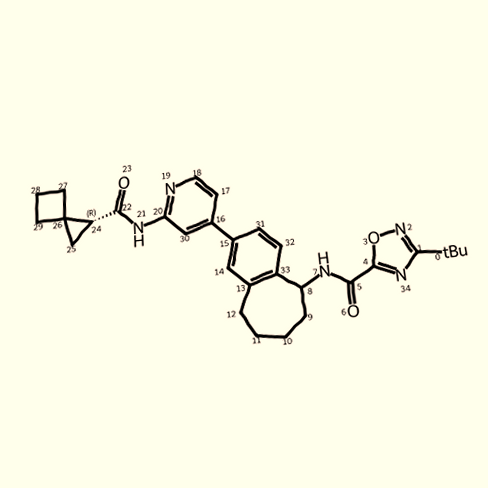 CC(C)(C)c1noc(C(=O)NC2CCCCc3cc(-c4ccnc(NC(=O)[C@@H]5CC56CCC6)c4)ccc32)n1